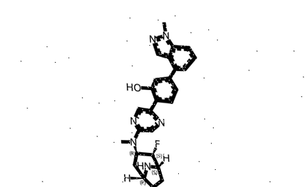 CN(c1cnc(-c2ccc(-c3cccc4c3cnn4C)cc2O)cn1)[C@@H]1C[C@H]2CC[C@H](N2)[C@@H]1F